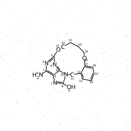 Nc1nc2nc3c1nc(O)n3Cc1ccccc1OCCCCO2